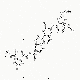 COC[C@H]1C[C@@H](C(=O)OC2Cc3ccc4c(c3CC2=O)OCc2cc(C(=O)COC(=O)[C@@H]3C[C@H](C)CN3C(=O)OC(C)(C)C)ccc2-4)N(C(=O)OC(C)(C)C)C1